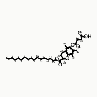 CCCCCCCCCCCCCCCCOC(=O)[C@@]1(C)CCc2c(C)c(OC(=O)CCC(=O)O)c(C)c(C)c2O1